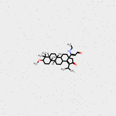 CCN/C(=C\C=O)C12CCC3C(CC[C@H]4C3(C)CC[C@H]3C(C)(C)C(OC)CCC34C)C1=C(C(C)C)C(=O)C2